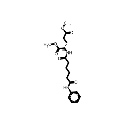 COC(=O)CC[C@H](NC(=O)CCCCC(=O)Nc1ccccc1)C(=O)OC